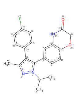 Cc1nn(C(C)C)c(-c2ccc3c(c2)NC(=O)CO3)c1-c1ccc(F)cc1